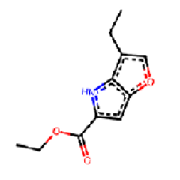 CCOC(=O)c1cc2occ(CC)c2[nH]1